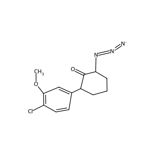 COc1cc(C2CCCC(N=[N+]=[N-])C2=O)ccc1Cl